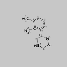 Cc1cccc(C2CNCC[N]2)c1C